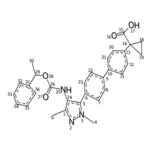 Cc1nn(C)c(-c2ccc(-c3ccc(C4(C(=O)O)CC4)cc3)cc2)c1NC(=O)OC(C)c1ccccc1